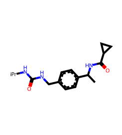 CC(C)NC(=O)NCc1ccc(C(C)NC(=O)C2CC2)cc1